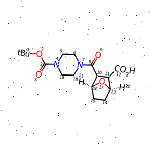 CC(C)(C)OC(=O)N1CCN(C(=O)C2C(C(=O)O)[C@H]3CC[C@@H]2O3)CC1